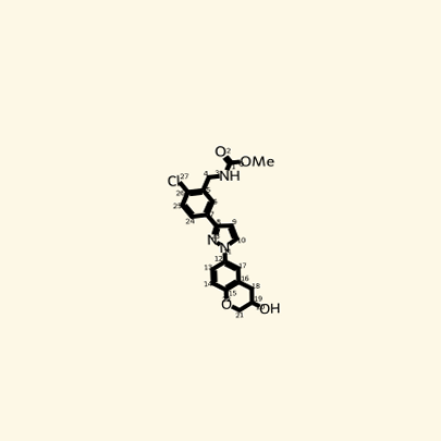 COC(=O)NCc1cc(-c2ccn(-c3ccc4c(c3)CC(O)CO4)n2)ccc1Cl